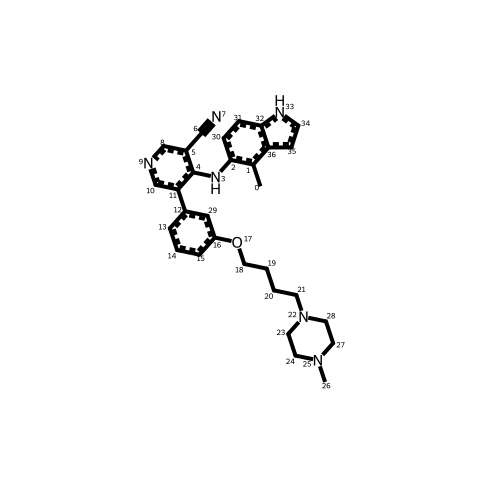 Cc1c(Nc2c(C#N)cncc2-c2cccc(OCCCCN3CCN(C)CC3)c2)ccc2[nH]ccc12